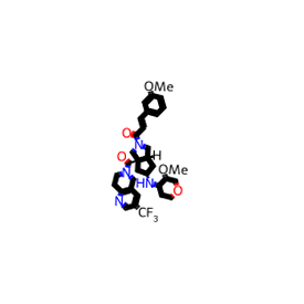 COc1cccc(C=CC(=O)N2C[C@@H]3C[C@@H](NC4CCOCC4OC)C[C@]3(C(=O)N3CCc4ncc(C(F)(F)F)cc4C3)C2)c1